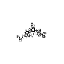 CCN(CC)CCN1CNc2cc(Oc3c(C)cc(NC(O)NC(=O)C(=N)C#N)cc3C)ccc21